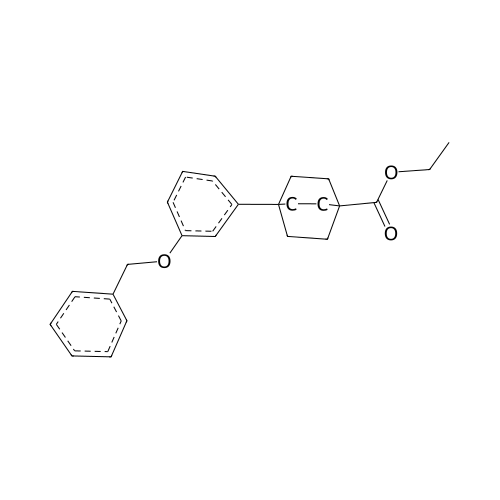 CCOC(=O)C12CCC(c3cccc(OCc4ccccc4)c3)(CC1)CC2